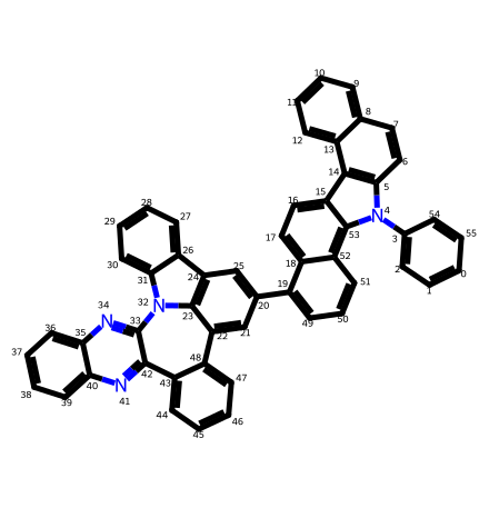 c1ccc(-n2c3ccc4ccccc4c3c3ccc4c(-c5cc6c7c(c5)c5ccccc5n7-c5nc7ccccc7nc5-c5ccccc5-6)cccc4c32)cc1